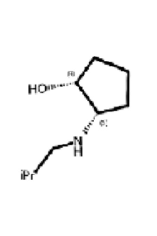 CC(C)CN[C@H]1CCC[C@H]1O